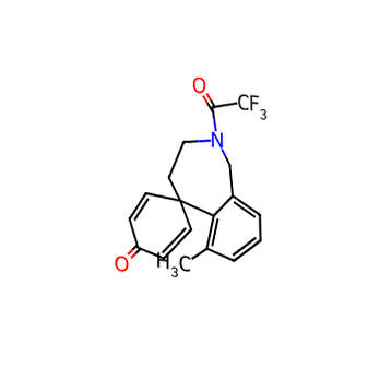 Cc1cccc2c1C1(C=CC(=O)C=C1)CCN(C(=O)C(F)(F)F)C2